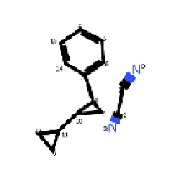 N#CC#N.c1ccc(C2CC2C2CC2)cc1